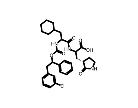 O=C(NC(CC1CCCCC1)C(=O)NC(C[C@@H]1CCNC1=O)C(=O)O)OC(Cc1cccc(Cl)c1)c1ccccc1